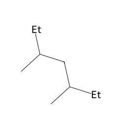 CCC(C)CC(C)CC